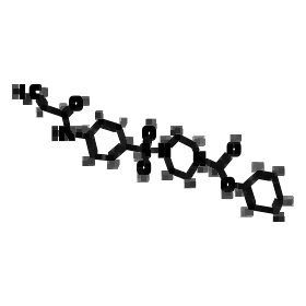 C=CC(=O)Nc1ccc(S(=O)(=O)N2CCN(C(=O)Oc3ccccc3)CC2)cc1